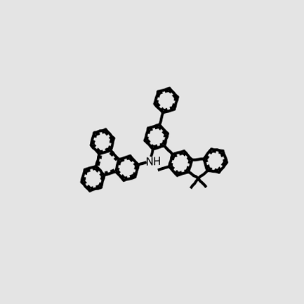 Cc1cc2c(cc1-c1cc(-c3ccccc3)ccc1Nc1ccc3c4ccccc4c4ccccc4c3c1)-c1ccccc1C2(C)C